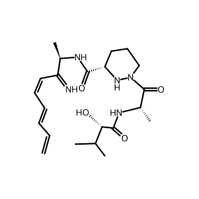 C=C/C=C/C=C\C(=N)[C@@H](C)NC(=O)[C@@H]1CCCN(C(=O)[C@H](C)NC(=O)[C@@H](O)C(C)C)N1